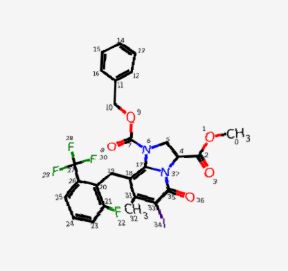 COC(=O)C1CN(C(=O)OCc2ccccc2)c2c(Cc3c(F)cccc3C(F)(F)F)c(C)c(I)c(=O)n21